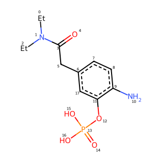 CCN(CC)C(=O)Cc1ccc(N)c(OP(=O)(O)O)c1